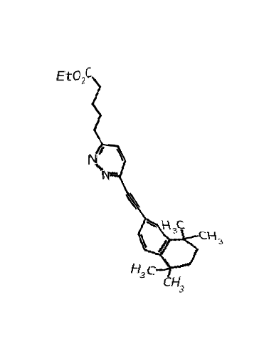 CCOC(=O)CCCCc1ccc(C#Cc2ccc3c(c2)C(C)(C)CCC3(C)C)nn1